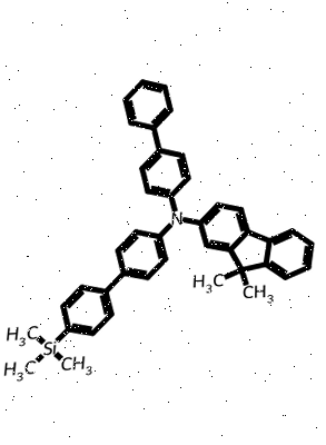 CC1(C)c2ccccc2-c2ccc(N(c3ccc(-c4ccccc4)cc3)c3ccc(-c4ccc([Si](C)(C)C)cc4)cc3)cc21